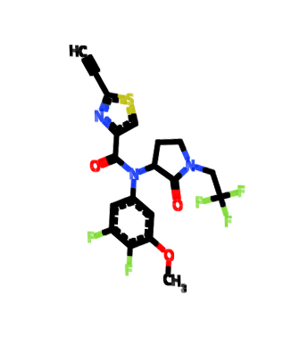 C#Cc1nc(C(=O)N(c2cc(F)c(F)c(OC)c2)C2CCN(CC(F)(F)F)C2=O)cs1